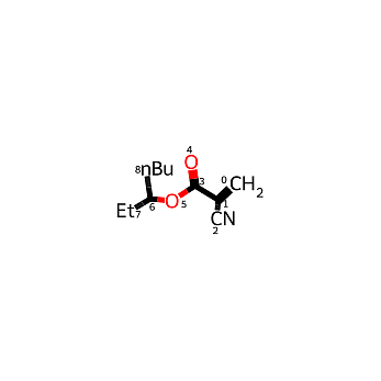 C=C(C#N)C(=O)OC(CC)CCCC